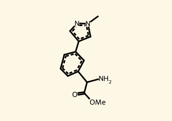 COC(=O)C(N)c1cccc(-c2cnn(C)c2)c1